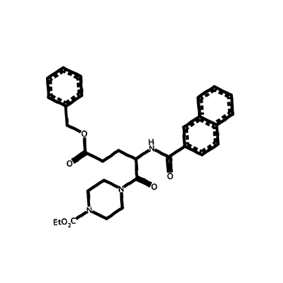 CCOC(=O)N1CCN(C(=O)C(CCC(=O)OCc2ccccc2)NC(=O)c2ccc3ccccc3c2)CC1